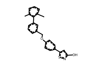 Cc1cccc(C)c1-c1cccc(COc2ccc(-c3cc(O)ns3)cc2)c1